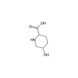 O=C(O)C1CCC(O)CN1